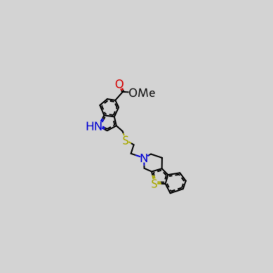 COC(=O)c1ccc2[nH]cc(CSCCN3CCc4c(sc5ccccc45)C3)c2c1